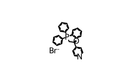 O=C(C[P+](c1ccccc1)(c1ccccc1)c1ccccc1)c1ccncc1.[Br-]